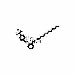 CCCCCCCCCCCCNC(=O)c1ccccc1NCc1ccc(C(F)(F)F)cc1